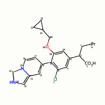 CC(C)CC(C(=O)O)c1cc(Cl)c(C2=CC3=CNSN3C=C2)c(OCC2CC2)c1